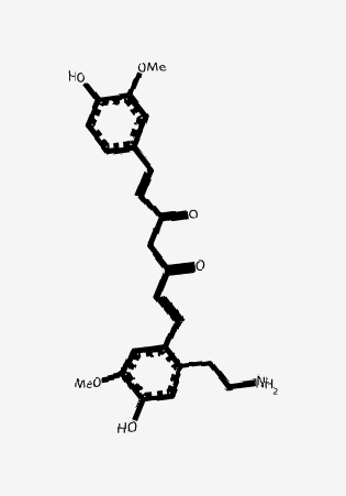 COc1cc(/C=C/C(=O)CC(=O)/C=C/c2cc(OC)c(O)cc2CCN)ccc1O